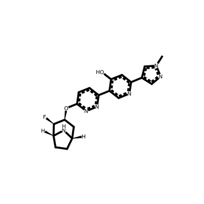 Cn1cc(-c2cc(O)c(-c3ccc(O[C@H]4C[C@@H]5CC[C@@H](N5)[C@H]4F)nn3)cn2)cn1